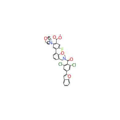 COC(=O)c1cc(F)c(-c2cccc3c2OCN(C(=O)c2c(Cl)cc(-c4cc5ccccc5o4)cc2Cl)C3)cc1N1CC2CCCC1CO2